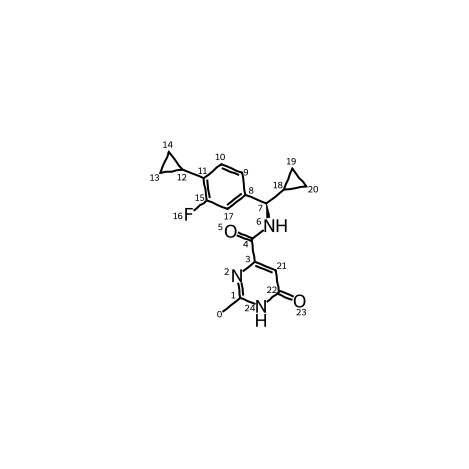 Cc1nc(C(=O)N[C@@H](c2ccc(C3CC3)c(F)c2)C2CC2)cc(=O)[nH]1